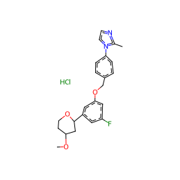 COC1CCOC(c2cc(F)cc(OCc3ccc(-n4ccnc4C)cc3)c2)C1.Cl